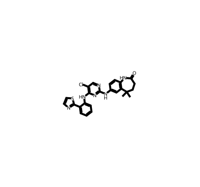 CC1(C)CCC(=O)Nc2ccc(Nc3ncc(Cl)c(Nc4ccccc4-c4nccs4)n3)cc21